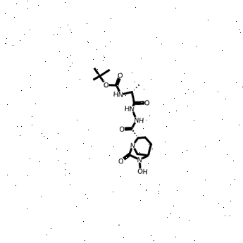 C[C@@H](NC(=O)OC(C)(C)C)C(=O)NNC(=O)[C@@H]1CCC2CN1C(=O)N2O